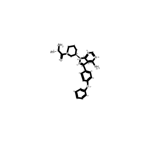 CC(C)[C@H](N)C(=O)N1CCC[C@@H](n2nc(-c3ccc(Oc4ccccc4)cc3)c3c(N)ncnc32)C1